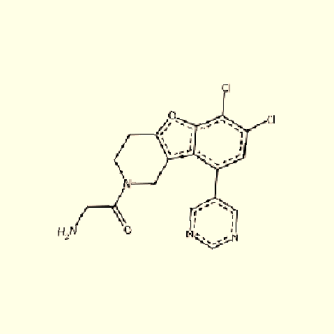 NCC(=O)N1CCc2oc3c(Cl)c(Cl)cc(-c4cncnc4)c3c2C1